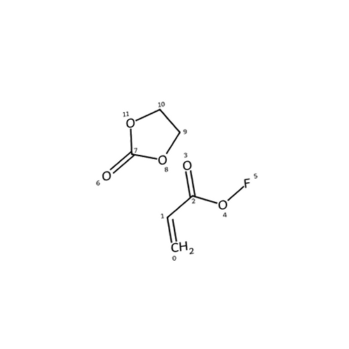 C=CC(=O)OF.O=C1OCCO1